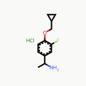 CC(N)c1ccc(OCC2CC2)c(F)c1.Cl